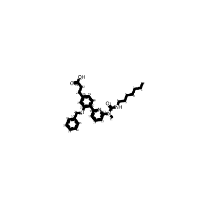 CCCCCCCNC(=O)N(C)c1cccc(-c2ccc(CCC(=O)O)cc2OCc2ccccc2)n1